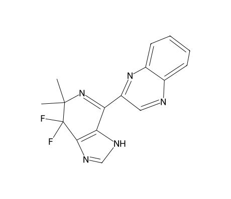 CC1(C)N=C(c2cnc3ccccc3n2)c2[nH]cnc2C1(F)F